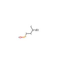 CCC(C)CCP=O